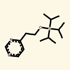 CC(C)[Si](OCCc1ccncn1)(C(C)C)C(C)C